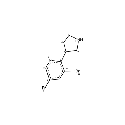 Brc1cnc(C2CCNC2)c(Br)c1